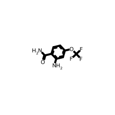 NC(=O)c1ccc(OC(F)(F)F)cc1N